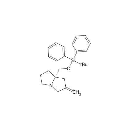 C=C1CN2CCC[C@@]2(CO[Si](c2ccccc2)(c2ccccc2)C(C)(C)C)C1